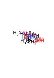 C=CCNC(=O)C(=O)[C@H](CCCC)NC(=O)[C@@H]1[C@@H]2[C@H](CN1C(=O)[C@@H](NC(=O)NC1([C@@H]3COCCS3(O)O)CCCCC1)C(C)(C)C)C2(C)C